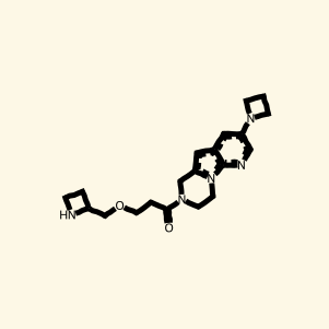 O=C(CCOCC1CCN1)N1CCn2c(cc3cc(N4CCC4)cnc32)C1